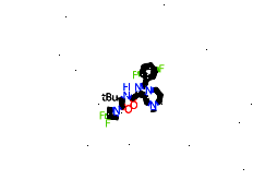 CN1CCCn2c(-c3cc(F)ccc3F)nc(C(=O)N[C@H](C(=O)N3CC(F)(F)C3)C(C)(C)C)c2C1